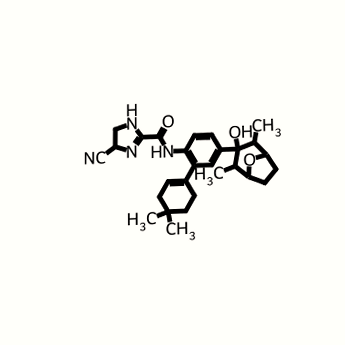 CC1C2CCC(O2)C(C)C1(O)c1ccc(NC(=O)C2=NC(C#N)CN2)c(C2=CCC(C)(C)CC2)c1